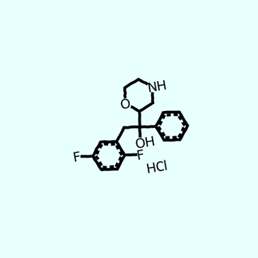 Cl.OC(Cc1cc(F)ccc1F)(c1ccccc1)C1CNCCO1